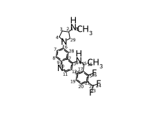 CN[C@@H]1CCN(c2ccc3nccc(N[C@H](C)c4cccc(C(F)F)c4F)c3c2)C1